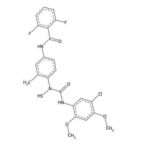 COc1cc(OC)c(NC(=O)N(S)c2ccc(NC(=O)c3c(F)cccc3F)cc2C)cc1Cl